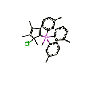 CC1=C(C)C(C)(Cl)C(P(C)(c2cccc(C)c2)(c2cccc(C)c2)c2cccc(C)c2)=C1C